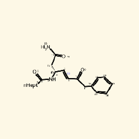 CCCCCCCC(=O)N[C@@H](/C=C/C(=O)Cc1ccccc1)CC(N)=O